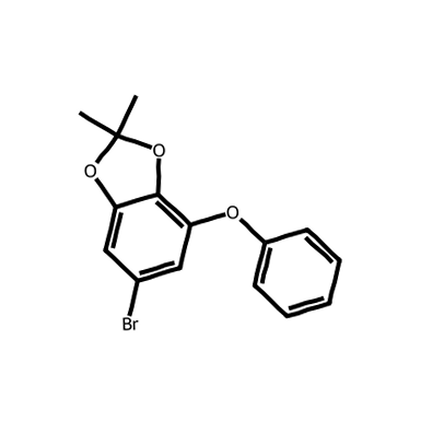 CC1(C)Oc2cc(Br)cc(Oc3ccccc3)c2O1